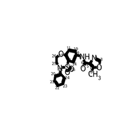 Cc1ocnc1C(=O)Nc1ccc2c(c1)S(=O)(=O)N(c1ccccc1)CCO2